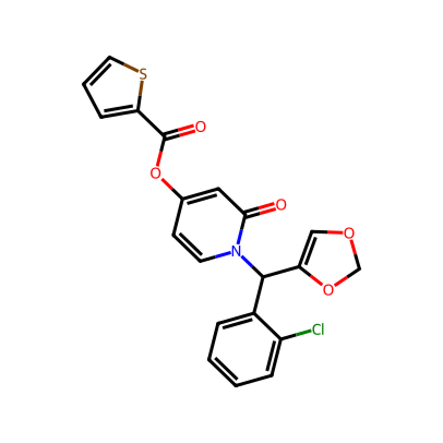 O=C(Oc1ccn(C(C2=COCO2)c2ccccc2Cl)c(=O)c1)c1cccs1